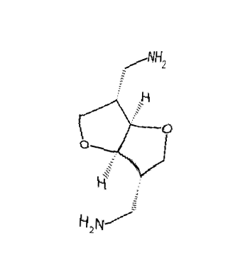 NC[C@H]1CO[C@@H]2[C@@H](CN)CO[C@H]12